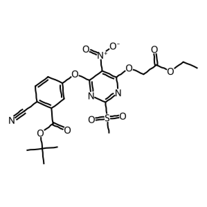 CCOC(=O)COc1nc(S(C)(=O)=O)nc(Oc2ccc(C#N)c(C(=O)OC(C)(C)C)c2)c1[N+](=O)[O-]